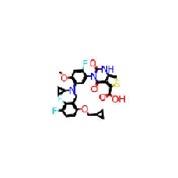 COc1cc(F)c(-n2c(=O)[nH]c3csc(C(=O)O)c3c2=O)cc1N(Cc1c(OCC2CC2)ccc(F)c1F)C1CC1